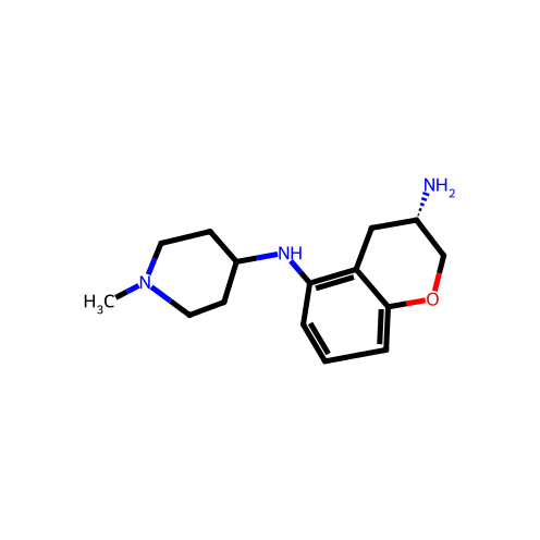 CN1CCC(Nc2cccc3c2C[C@H](N)CO3)CC1